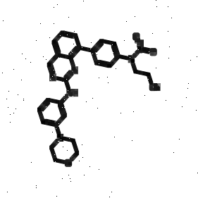 N#CCCN(c1ccc(-c2cccc3cnc(Nc4cccc(N5CCOCC5)c4)nc23)cc1)[SH](=O)=O